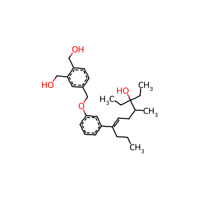 CCCC(=CCC(C)C(O)(CC)CC)c1cccc(OCc2ccc(CO)c(CO)c2)c1